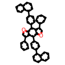 c1ccc(-c2coc3c(-c4ccc(-c5cccc6ccccc56)cc4)c4c(-c5ccccc5)coc4c(-c4ccc(-c5cccc6ccccc56)cc4)c23)cc1